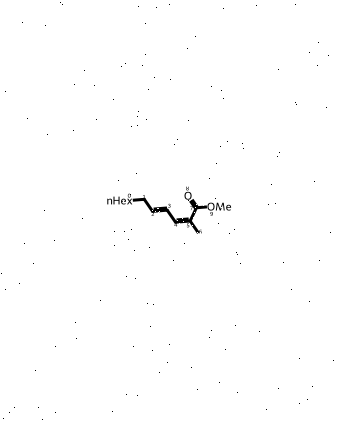 CCCCCCCC=CC=C(C)C(=O)OC